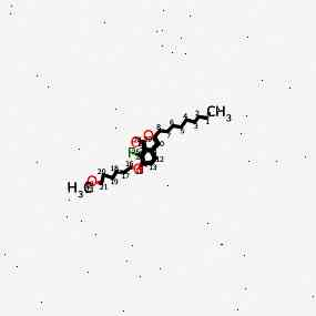 CCCCCCCCCc1cc2ccc(OCCCCCCOC)c(F)c2c(=O)o1